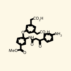 COC(=O)c1ccc(Oc2cc(CC(=O)O)cc(CC(=O)O)c2)c(NC(=O)CC(=O)c2ccc(N)cc2)c1